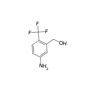 Nc1ccc(C(F)(F)F)c(CO)c1